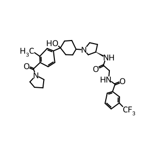 Cc1cc(C2(O)CCC(N3CC[C@@H](NC(=O)CNC(=O)c4cccc(C(F)(F)F)c4)C3)CC2)ccc1C(=O)N1CCCC1